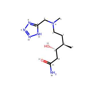 C[C@H](CCN(C)Cc1nnn[nH]1)[C@@H](O)CC(N)=O